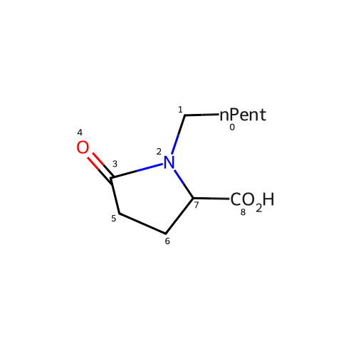 CCCCCCN1C(=O)CCC1C(=O)O